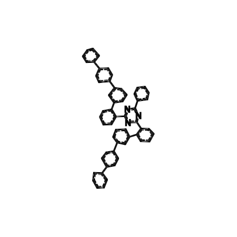 c1ccc(-c2ccc(-c3cccc(-c4ccccc4-c4nc(-c5ccccc5)nc(-c5ccccc5-c5cccc(-c6ccc(-c7ccccc7)cc6)c5)n4)c3)cc2)cc1